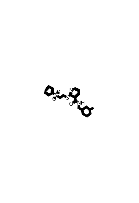 CC1CCCC(CNC(=O)c2cccnc2SCCS(=O)(=O)c2ccccc2)C1